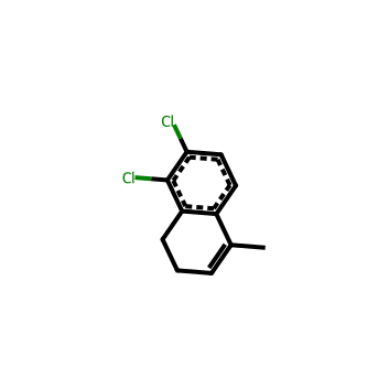 CC1=CCCc2c1ccc(Cl)c2Cl